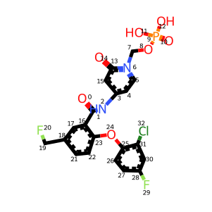 O=C(Nc1ccn(COP(=O)(O)O)c(=O)c1)c1cc(CF)ccc1Oc1ccc(F)cc1Cl